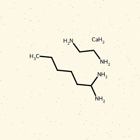 CCCCCC(N)N.NCCN.[CaH2]